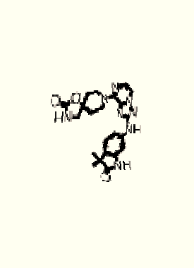 CC1(C)C(=O)Nc2cc(Nc3nc4c(N5CCC6(CC5)CNC(=O)O6)nccn4n3)ccc21